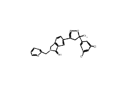 N=C1c2cc(C3=NOC(c4cc(Cl)cc(Cl)c4)(C(F)(F)F)C3)ccc2CN1Cc1ccccn1